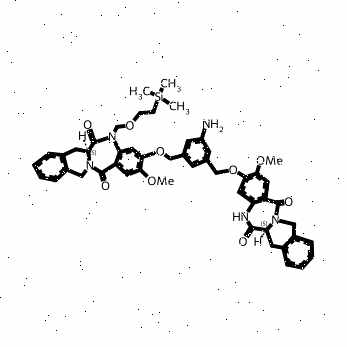 COc1cc2c(cc1OCc1cc(N)cc(COc3cc4c(cc3OC)C(=O)N3Cc5ccccc5C[C@H]3C(=O)N4COCC[Si](C)(C)C)c1)NC(=O)[C@@H]1Cc3ccccc3CN1C2=O